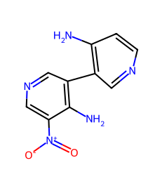 Nc1ccncc1-c1cncc([N+](=O)[O-])c1N